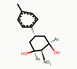 CC(=O)[C@]1(O)C[C@H](c2ccc(C)cc2)C[C@](O)(C(C)=O)[C@H]1[N+](=O)[O-]